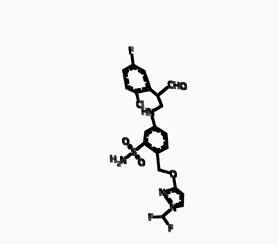 NS(=O)(=O)c1cc(NCC(C=O)c2cc(F)ccc2Cl)ccc1COc1ccn(C(F)F)n1